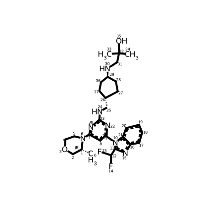 C[C@@H]1COCCN1c1cc(-n2c(C(F)F)nc3ccccc32)nc(NC[C@H]2CC[C@H](NCC(C)(C)O)CC2)n1